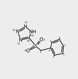 O=S(=O)(Cc1ccccc1)c1nnn[nH]1